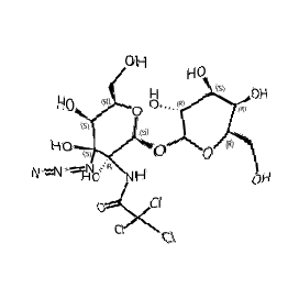 [N-]=[N+]=N[C@]1(O)[C@@H](O)[C@@H](CO)O[C@@H](OC2O[C@H](CO)[C@H](O)[C@H](O)[C@H]2O)[C@@]1(O)NC(=O)C(Cl)(Cl)Cl